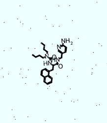 CCCCN(CCCC)C(=O)NC(Cc1cccc2ccccc12)C(=O)NCc1ccc(N)nc1